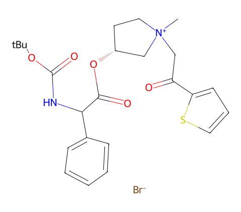 CC(C)(C)OC(=O)NC(C(=O)O[C@@H]1CC[N+](C)(CC(=O)c2cccs2)C1)c1ccccc1.[Br-]